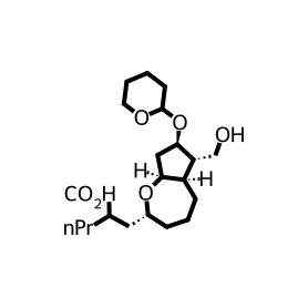 CCCC(C[C@H]1CCC[C@@H]2[C@@H](CO)[C@H](OC3CCCCO3)C[C@@H]2O1)C(=O)O